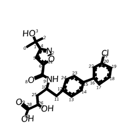 CC(C)(O)c1cc(C(=O)NC(Cc2ccc(-c3cccc(Cl)c3)cc2)CC(O)C(=O)O)on1